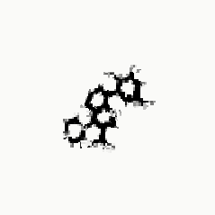 O=C(O)c1cnc2c(-c3cc(F)cc(F)c3F)cccc2c1N1CCOCC1